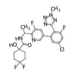 CC(NC(=O)C1(O)CCC(F)(F)CC1)c1ncc(-c2cc(Cl)cc(F)c2-c2nnn(C)n2)cc1F